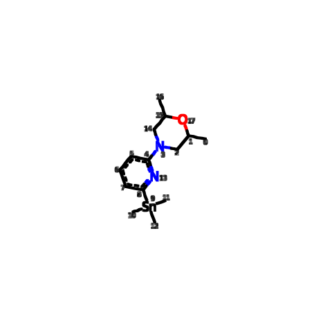 CC1CN(c2ccc[c]([Sn]([CH3])([CH3])[CH3])n2)CC(C)O1